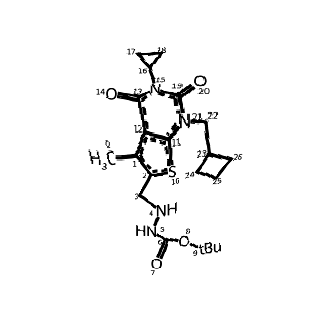 Cc1c(CNNC(=O)OC(C)(C)C)sc2c1c(=O)n(C1CC1)c(=O)n2CC1CCC1